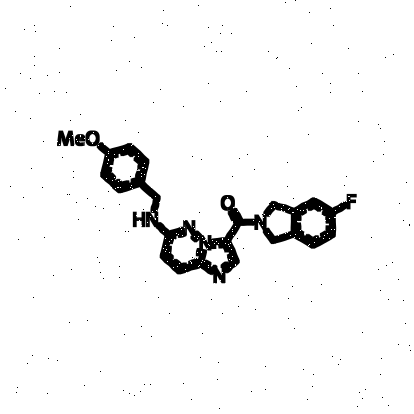 COc1ccc(CNc2ccc3ncc(C(=O)N4Cc5ccc(F)cc5C4)n3n2)cc1